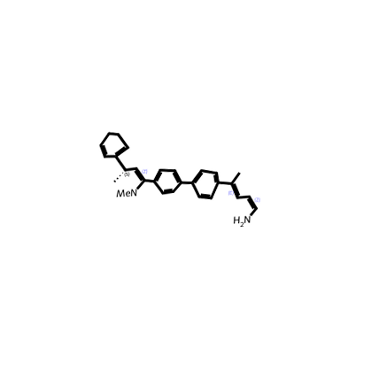 CN/C(=C\[C@H](C)C1=CCCC=C1)c1ccc(-c2ccc(/C(C)=C/C=C\N)cc2)cc1